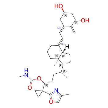 C=C1/C(=C\C=C2/CCC[C@]3(C)[C@@H]([C@H](C)CC[C@@H](OC(=O)NC)C4(c5nc(C)co5)CC4)CC[C@@H]23)C[C@@H](O)C[C@@H]1O